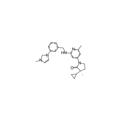 Cc1cc(N2CC[C@@](C)(C3CC3)C2=O)cc(NCc2cccc(N3C=CN(C)C3)c2)n1